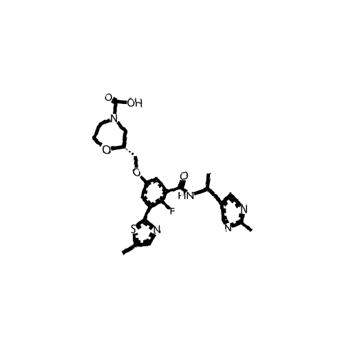 Cc1ncc(C(C)NC(=O)c2cc(OC[C@H]3CN(C(=O)O)CCO3)cc(-c3ncc(C)s3)c2F)cn1